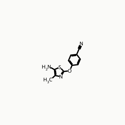 Cc1nc(Oc2ccc(C#N)cc2)sc1N